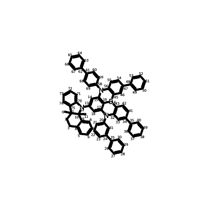 CC12CCc3ccccc3C1(C)N(c1cc3c4c(c1)N(c1cccc(-c5ccccc5)c1)c1cc(-c5ccccc5)ccc1B4c1cc(-c4ccccc4)ccc1N3c1ccc(-c3ccccc3)cc1)c1ccccc12